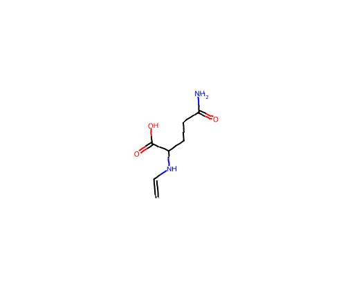 C=CNC(CCC(N)=O)C(=O)O